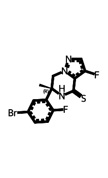 C[C@@]1(c2cc(Br)ccc2F)Cn2ncc(F)c2C(=S)N1